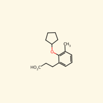 Cc1cccc(CCC(=O)O)c1OC1CCCC1